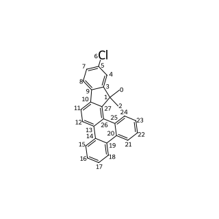 CC1(C)c2cc(Cl)ccc2-c2ccc3c4ccccc4c4ccccc4c3c21